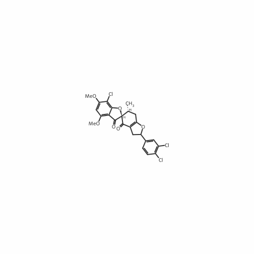 COc1cc(OC)c2c(c1Cl)O[C@@]1(C(=O)C3=C(C[C@H]1C)OC(c1ccc(Cl)c(Cl)c1)C3)C2=O